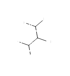 OC(C(F)F)C(F)F